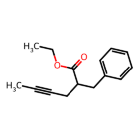 CC#CCC(Cc1ccccc1)C(=O)OCC